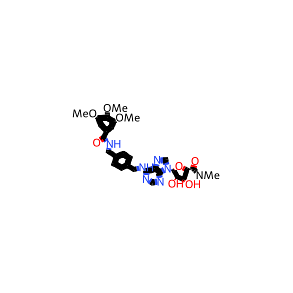 CNC(=O)[C@H]1O[C@@H](n2cnc3c(NCc4ccc(CNC(=O)c5cc(OC)c(OC)c(OC)c5)cc4)ncnc32)[C@@H](O)C1O